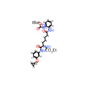 CCOC(=O)NC(CCCCC(=O)Nc1ccccc1NC(=O)OC(C)(C)C)C(=O)Nc1cccc(OC2CC2)c1